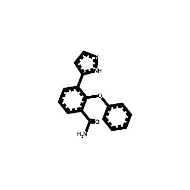 NC(=O)c1cccc(-c2ccn[nH]2)c1Oc1ccccc1